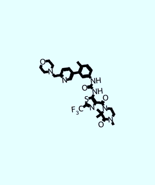 Cc1ccc(NC(=O)Nc2sc(C(F)(F)F)nc2C(=O)N2CCN(C)C(=O)C2(C)C)cc1-c1ccc(CN2CCOCC2)nc1